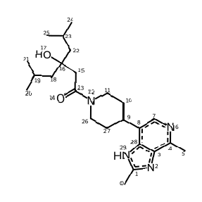 Cc1nc2c(C)ncc(C3CCN(C(=O)CC(O)(CC(C)C)CC(C)C)CC3)c2[nH]1